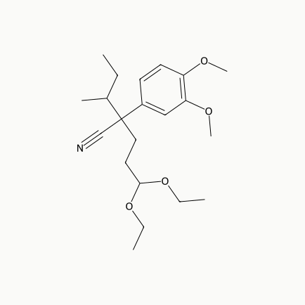 CCOC(CCC(C#N)(c1ccc(OC)c(OC)c1)C(C)CC)OCC